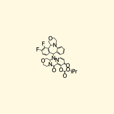 CC(C)OC(=O)Oc1c2n(ccc1=O)N(C1c3ccccc3N3CCOCC3c3c1ccc(F)c3F)C1COCCN1C2=O